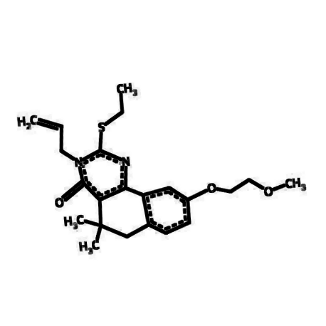 C=CCn1c(SCC)nc2c(c1=O)C(C)(C)Cc1ccc(OCCOC)cc1-2